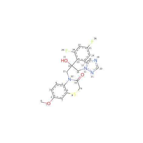 COc1ccc2c(c1)SCC(=O)N2CC(O)(Cn1cncn1)c1ccc(F)cc1F